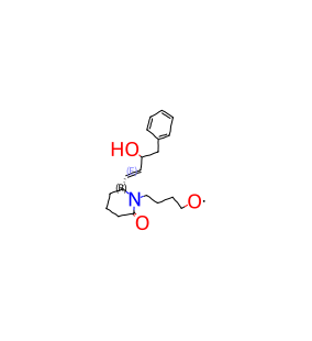 [O]CCCCN1C(=O)CCC[C@@H]1/C=C/C(O)Cc1ccccc1